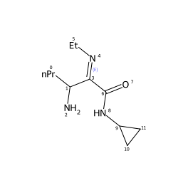 CCCC(N)/C(=N\CC)C(=O)NC1CC1